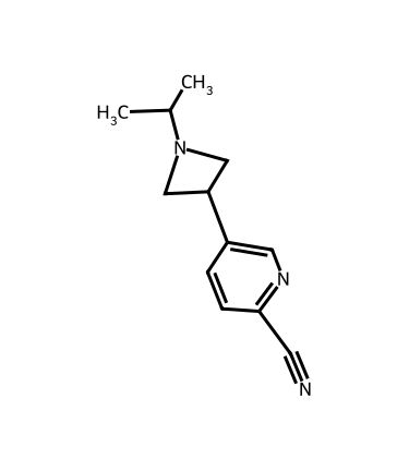 CC(C)N1CC(c2ccc(C#N)nc2)C1